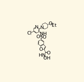 CCOC1CCN(c2ncc(Cl)cc2NS(=O)(=O)c2ccc3oc(C(=O)NO)cc3c2)CC1